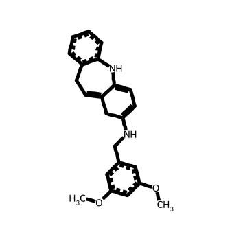 COc1cc(CNC2=CC=C3Nc4ccccc4CC=C3C2)cc(OC)c1